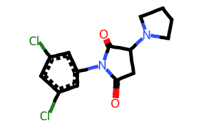 O=C1CC(N2CCCC2)C(=O)N1c1cc(Cl)cc(Cl)c1